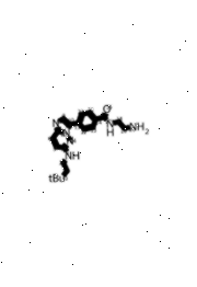 CC(C)(C)CCNc1ccc2ncc(-c3ccc(C(=O)NCCN)cc3)n2n1